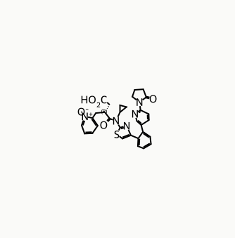 O=C(O)C[C@@H](Cc1cccc[n+]1[O-])C(=O)N(c1nc(-c2ccccc2-c2ccc(N3CCCC3=O)nc2)cs1)C1CC1